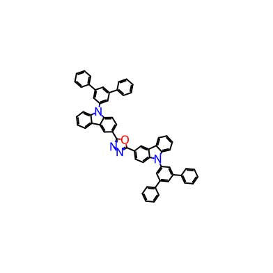 c1ccc(-c2cc(-c3ccccc3)cc(-n3c4ccccc4c4cc(-c5nnc(-c6ccc7c(c6)c6ccccc6n7-c6cc(-c7ccccc7)cc(-c7ccccc7)c6)o5)ccc43)c2)cc1